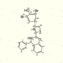 O=C(NC(c1ccccc1)c1ccccc1)c1nc(-c2cc(Br)c(O)c(Br)c2)cs1